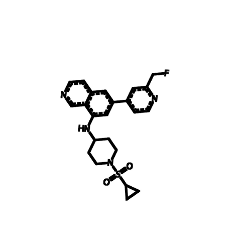 O=S(=O)(C1CC1)N1CCC(Nc2cc(-c3ccnc(CF)c3)cc3ccncc23)CC1